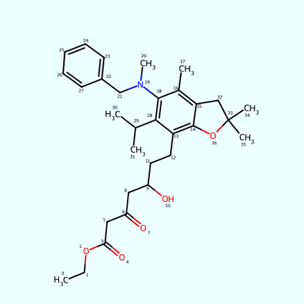 CCOC(=O)CC(=O)CC(O)CCc1c2c(c(C)c(N(C)Cc3ccccc3)c1C(C)C)CC(C)(C)O2